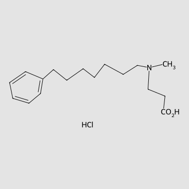 CN(CCCCCCCc1ccccc1)CCC(=O)O.Cl